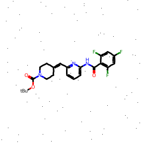 CC(C)(C)OC(=O)N1CCC(=Cc2cccc(NC(=O)c3c(F)cc(F)cc3F)n2)CC1